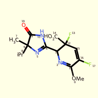 COC1=NC(C2=NC(C)(C(C)C)C(=O)N2)C(F)(C(=O)O)C=C1F